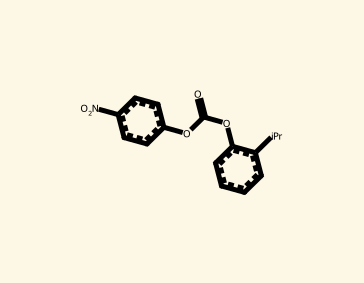 CC(C)c1ccccc1OC(=O)Oc1ccc([N+](=O)[O-])cc1